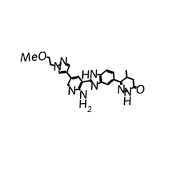 COCCn1cc(-c2cnc(N)c(-c3nc4cc(C5=NNC(=O)CC5C)ccc4[nH]3)c2)cn1